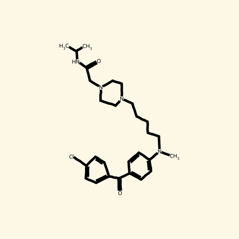 CC(C)NC(=O)CN1CCN(CCCCCN(C)c2ccc(C(=O)c3ccc(Cl)cc3)cc2)CC1